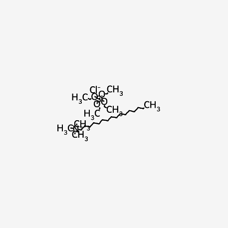 CCCCCCCCCCCCCCCC[N+](C)(C)C.CCO[Si](OCC)(OCC)OCC.[Cl-]